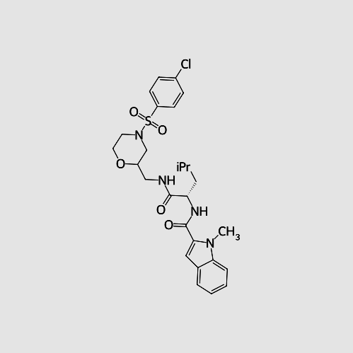 CC(C)C[C@H](NC(=O)c1cc2ccccc2n1C)C(=O)NCC1CN(S(=O)(=O)c2ccc(Cl)cc2)CCO1